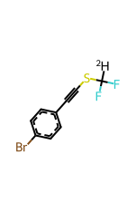 [2H]C(F)(F)SC#Cc1ccc(Br)cc1